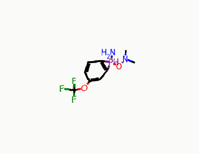 CN(C)O[PH]1(N)c2ccc(OC(F)(F)F)cc21